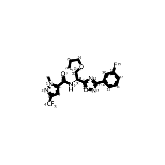 Cn1nc(C(F)(F)F)cc1C(=O)N[C@@H](c1nc(-c2cccc(F)c2)no1)[C@@H]1CCCO1